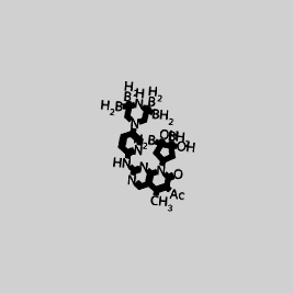 BC1(B)CN(c2ccc(Nc3ncc4c(C)c(C(C)=O)c(=O)n(C5CC(B)(O)C(B)(O)C5)c4n3)nc2)CC(B)(B)N1